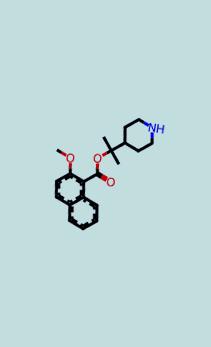 COc1ccc2ccccc2c1C(=O)OC(C)(C)C1CCNCC1